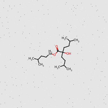 CC(C)CC[SiH2]OC(=O)C(O)(CCC(C)C)CCC(C)C